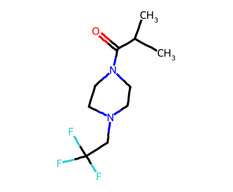 CC(C)C(=O)N1CCN(CC(F)(F)F)CC1